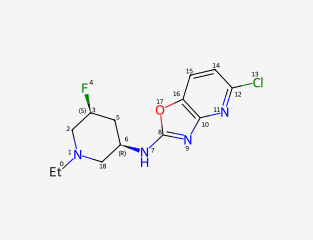 CCN1C[C@@H](F)C[C@@H](Nc2nc3nc(Cl)ccc3o2)C1